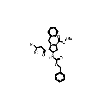 CCC(CC)CC(=O)[C@H]1[C@H](NC(=O)OCc2ccccc2)C[C@H](C(=O)OC(C)(C)C)N1Cc1ccccc1